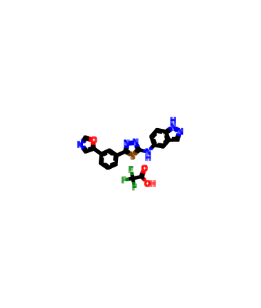 O=C(O)C(F)(F)F.c1cc(-c2cnco2)cc(-c2nnc(Nc3ccc4[nH]ncc4c3)s2)c1